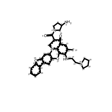 NC1CCN(C(=O)c2cn3c4c(c(NCCN5CCCC5)c(F)cc4c2=O)Oc2cc4c(cc2-3)oc2ccccc24)C1